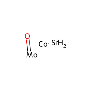 [Co].[O]=[Mo].[SrH2]